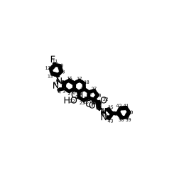 CC12Cc3cnn(-c4ccc(F)cc4)c3C=C1CCC1C2[C@@H](O)CC2(C)C1CC[C@]2(O)C(=O)Cn1cc(-c2ccccc2)cn1